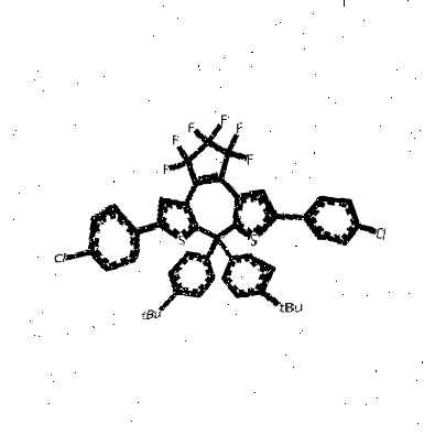 CC(C)(C)c1ccc(C2(c3ccc(C(C)(C)C)cc3)c3sc(-c4ccc(Cl)cc4)cc3C3=C(c4cc(-c5ccc(Cl)cc5)sc42)C(F)(F)C(F)(F)C3(F)F)cc1